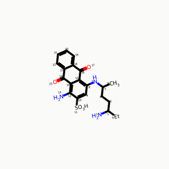 CCC(N)CCC(C)Nc1cc(S(=O)(=O)O)c(N)c2c1C(=O)c1ccccc1C2=O